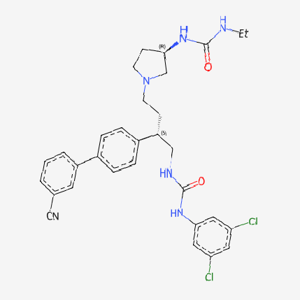 CCNC(=O)N[C@@H]1CCN(CC[C@H](CNC(=O)Nc2cc(Cl)cc(Cl)c2)c2ccc(-c3cccc(C#N)c3)cc2)C1